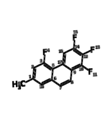 Cc1cc(F)c2c(ccc3c(F)c(F)c(F)cc32)c1